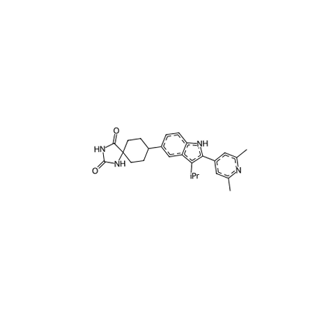 Cc1cc(-c2[nH]c3ccc(C4CCC5(CC4)NC(=O)NC5=O)cc3c2C(C)C)cc(C)n1